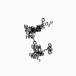 CC[C@H](C)[C@@H]([C@@H](CC(=O)N1CCC[C@H]1[C@H](OC)[C@@H](C)C(=S)N[C@@H](Cc1ccccc1)C(=O)O)OC)N(C)C(=O)[C@@H](NC(=O)C(C)(C)NC(=O)CCc1ccc(NC(=O)[C@H](CCCNC(N)=O)NC(=O)[C@@H](NC(=O)CCCCCN2C(=O)C=CC2=O)C(C)C)cc1)C(C)C